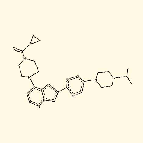 CC(C)N1CCN(c2cnc(-c3cc4c(N5CCN(C(=O)C6CC6)CC5)ccnn4c3)nc2)CC1